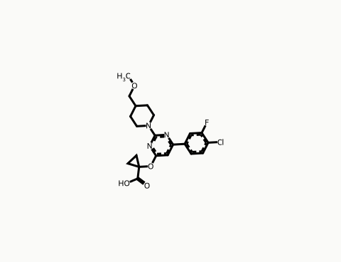 COCC1CCN(c2nc(OC3(C(=O)O)CC3)cc(-c3ccc(Cl)c(F)c3)n2)CC1